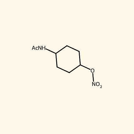 CC(=O)NC1CCC(O[N+](=O)[O-])CC1